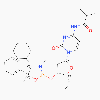 CC[C@H]1O[C@@H](n2ccc(NC(=O)C(C)C)nc2=O)CC1OP1O[C@@](C)(c2ccccc2)[C@H](C2CCCCC2)N1C